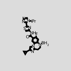 BN1CCc2nc(C3CC3)cn2-c2cc(C(=O)Nc3csc(-c4nncn4C(C)C)n3)c(F)cc21